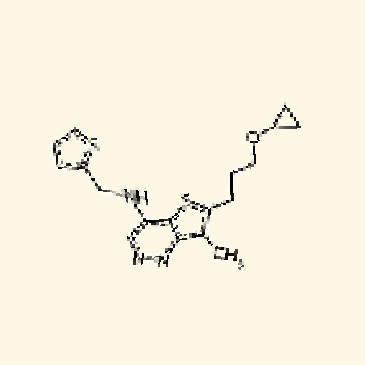 Cc1c(CCCOC2CC2)sc2c(NCc3cccs3)cnnc12